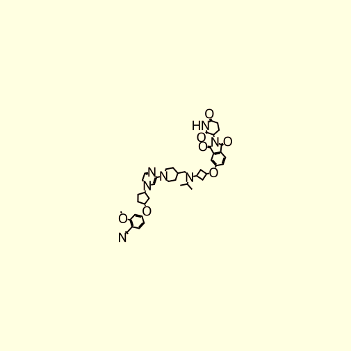 COc1cc(O[C@H]2CC[C@@H](N3C=C(N4CCC(CN(C(C)C)C5CC(Oc6ccc7c(c6)C(=O)N([C@@H]6CCC(=O)NC6=O)C7=O)C5)CC4)N=CC3)C2)ccc1C#N